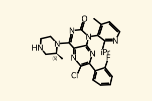 Cc1ccnc(C(C)C)c1-n1c(=O)nc(N2CCNC[C@@H]2C)c2nc(Cl)c(-c3ccccc3F)nc21